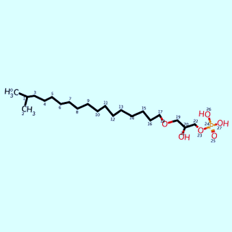 CC(C)CCCCCCCCCCCCCCCOCC(O)COP(=O)(O)O